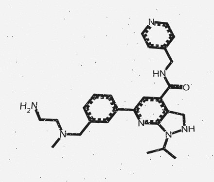 CC(C)N1NCc2c(C(=O)NCc3ccncc3)cc(-c3cccc(CN(C)CCN)c3)nc21